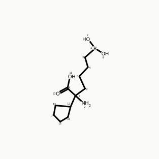 NC(CCCCB(O)O)(C(=O)O)C1CCCC1